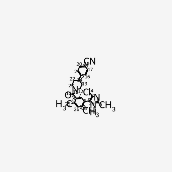 Cc1nc(Cl)c(-c2cc(C(=O)N3CCC(c4ccc(C#N)cc4)CC3)c(C)cc2C)[nH]1